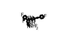 N/N=C\N(N)CC(c1ccc(F)cc1F)C(F)(F)c1cnc(C#Cc2ccc(F)cc2)cn1